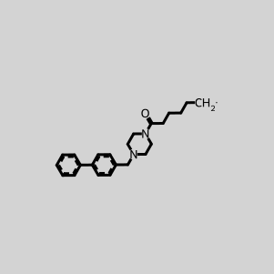 [CH2]CCCCC(=O)N1CCN(Cc2ccc(-c3ccccc3)cc2)CC1